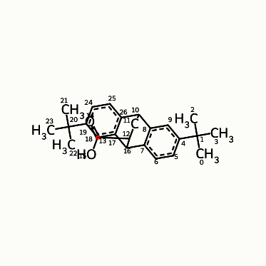 CC(C)(C)c1ccc2c(c1)C1CC(C(=O)O)C2c2cc(C(C)(C)C)ccc21